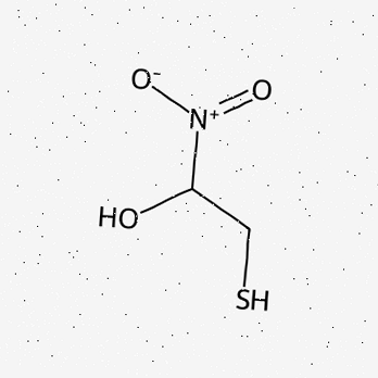 O=[N+]([O-])C(O)CS